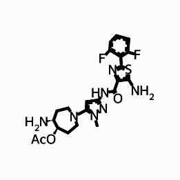 CC(=O)O[C@@H]1CCN(c2cc(NC(=O)c3nc(-c4c(F)cccc4F)sc3N)nn2C)CC[C@H]1N